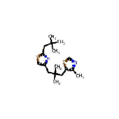 Cc1ncsc1CC(C)(C)Cc1csc(CC(C)(C)C)n1